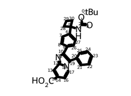 CC(C)(C)OC(=O)NC1(c2ccc(-c3nc4cc(C(=O)O)ccn4c3-c3ccccc3)cc2)CCC1